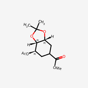 COC(=O)C1C[C@@H](OC(C)=O)[C@@H]2OC(C)(C)O[C@@H]2C1